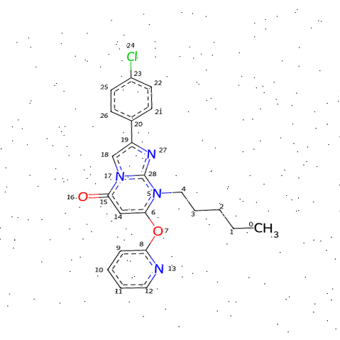 CCCCCn1c(Oc2ccccn2)cc(=O)n2cc(-c3ccc(Cl)cc3)nc12